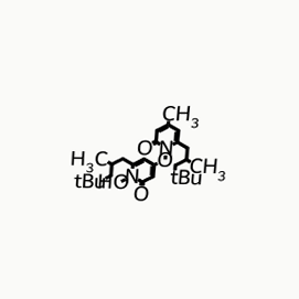 Cc1cc(CC(C)CC(C)(C)C)n(Oc2cc(CC(C)CC(C)(C)C)n(O)c(=O)c2)c(=O)c1